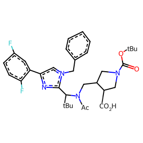 CC(=O)N(CC1CN(C(=O)OC(C)(C)C)CC1C(=O)O)C(c1nc(-c2cc(F)ccc2F)cn1Cc1ccccc1)C(C)(C)C